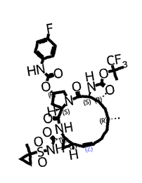 C[C@@H]1CC/C=C\[C@@H]2C[C@@]2(C(=O)NS(=O)(=O)C2(C)CC2)NC(=O)[C@@H]2C[C@@H](OC(=O)Nc3ccc(F)cc3)CN2C(=O)[C@@H](NC(=O)OC(C)(C)C(F)(F)F)[C@H](C)C1